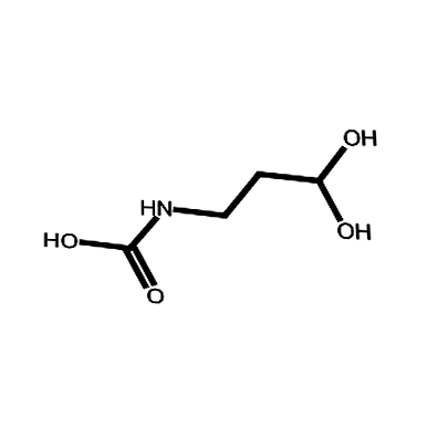 O=C(O)NCCC(O)O